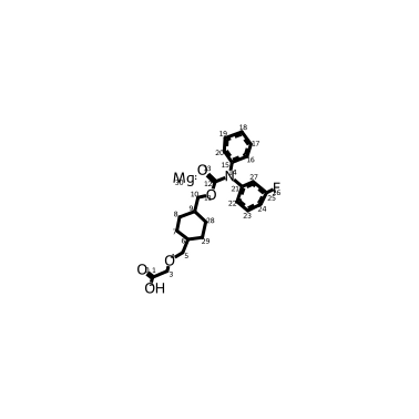 O=C(O)COCC1CCC(COC(=O)N(c2ccccc2)c2cccc(F)c2)CC1.[Mg]